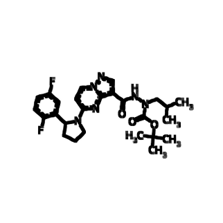 CC(C)CN(NC(=O)c1cnn2ccc(N3CCCC3c3cc(F)ccc3F)nc12)C(=O)OC(C)(C)C